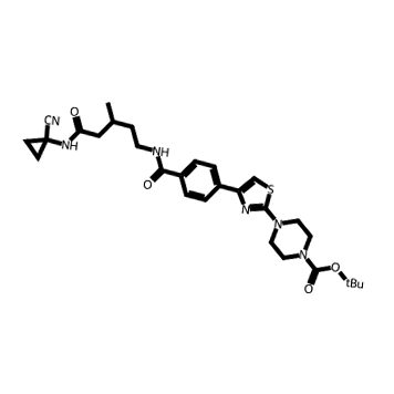 CC(CCNC(=O)c1ccc(-c2csc(N3CCN(C(=O)OC(C)(C)C)CC3)n2)cc1)CC(=O)NC1(C#N)CC1